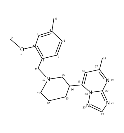 COc1cc(C)ccc1CN1CCCC(c2cc(C)nc3ncnn23)C1